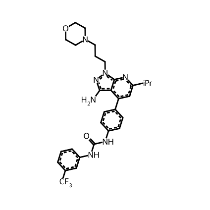 CC(C)c1cc(-c2ccc(NC(=O)Nc3cccc(C(F)(F)F)c3)cc2)c2c(N)nn(CCCN3CCOCC3)c2n1